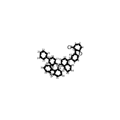 Clc1cccc2oc3ccc(-c4ccc(N(c5ccc(-c6ccccc6)cc5)c5cccc6sc7ccccc7c56)c5ccccc45)cc3c12